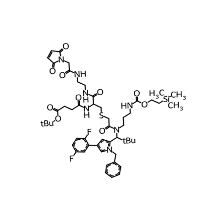 CC(C)(C)OC(=O)CCC(=O)NC(CSCC(=O)N(CCCNC(=O)OCC[Si](C)(C)C)C(c1cc(-c2cc(F)ccc2F)cn1Cc1ccccc1)C(C)(C)C)C(=O)NCCNC(=O)CN1C(=O)C=CC1=O